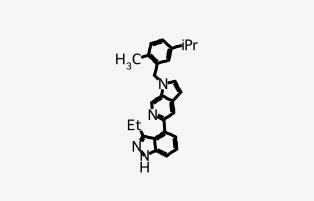 CCc1n[nH]c2cccc(-c3cc4ccn(Cc5cc(C(C)C)ccc5C)c4cn3)c12